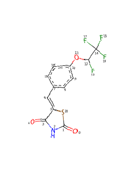 O=C1NC(=O)/C(=C/c2ccc(OC(F)C(F)(F)F)cc2)S1